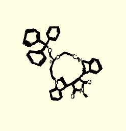 CN1C(=O)C2=C(C1=O)c1cn(c3ccccc13)CC[C@@H](COC(c1ccccc1)(c1ccccc1)c1ccccc1)OCCn1cc2c2ccccc21